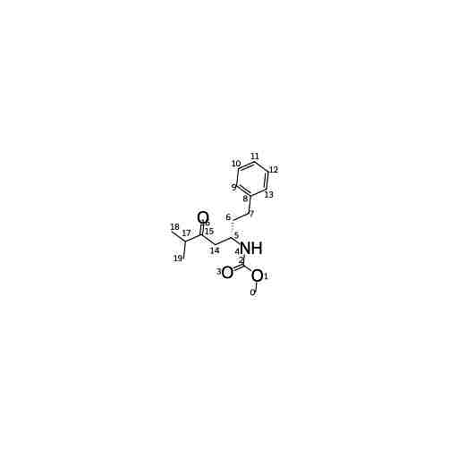 COC(=O)N[C@@H](CCc1ccccc1)CC(=O)C(C)C